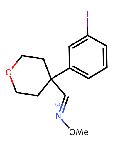 CO/N=C/C1(c2cccc(I)c2)CCOCC1